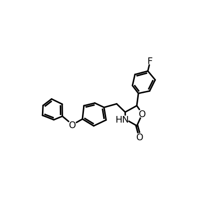 O=C1NC(Cc2ccc(Oc3ccccc3)cc2)C(c2ccc(F)cc2)O1